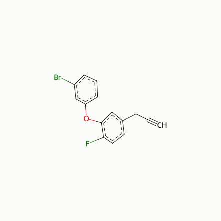 C#C[CH]c1ccc(F)c(Oc2cccc(Br)c2)c1